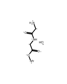 CCCOC(=O)CNC(=O)CN.Cl